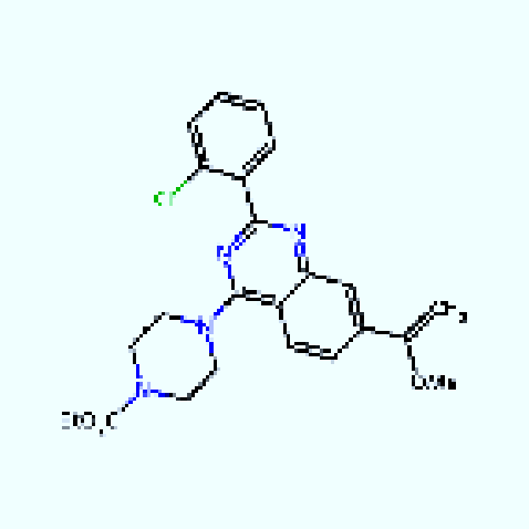 C=C(OC)c1ccc2c(N3CCN(C(=O)OCC)CC3)nc(-c3ccccc3Cl)nc2c1